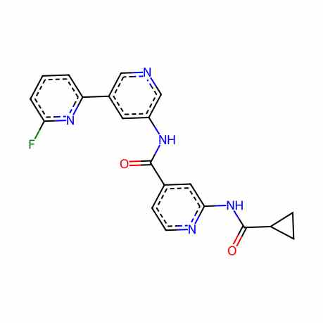 O=C(Nc1cncc(-c2cccc(F)n2)c1)c1ccnc(NC(=O)C2CC2)c1